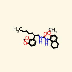 CCCCC[C@@H](CNC(=O)Nc1c(OC)ccc2c1CCCC2)c1cccc2c1OCO2